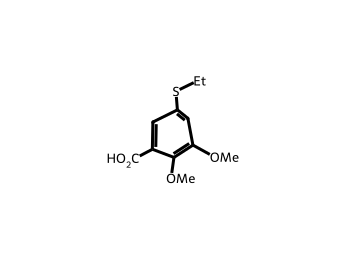 CCSc1cc(OC)c(OC)c(C(=O)O)c1